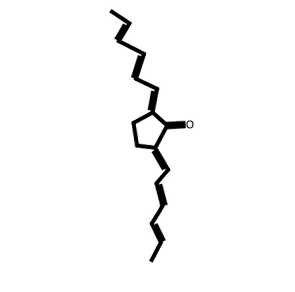 C/C=C/C=C/C=C1\CC\C(=C/C=C/C=C/C)C1=O